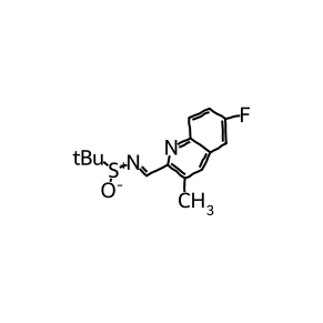 Cc1cc2cc(F)ccc2nc1/C=N/[S+]([O-])C(C)(C)C